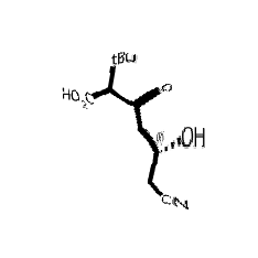 CC(C)(C)C(C(=O)O)C(=O)C[C@H](O)CC#N